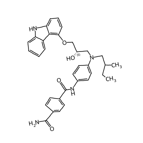 CCC(C)CN(C[C@H](O)COc1cccc2[nH]c3ccccc3c12)c1ccc(NC(=O)c2ccc(C(N)=O)cc2)cc1